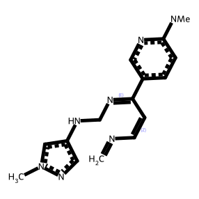 C=N/C=C\C(=N/CNc1cnn(C)c1)c1ccc(NC)nc1